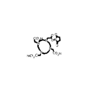 O=C(O)CN1CCCN(CC(=O)O)CCN(CC(=O)ON2C(=O)CCC2=O)CCN(CC(=O)O)CC1